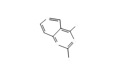 Nc1nc(N)c2cnccc2n1